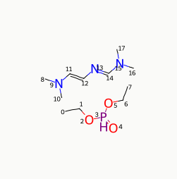 CCO[PH](=O)OCC.CN(C)C=CN=CN(C)C